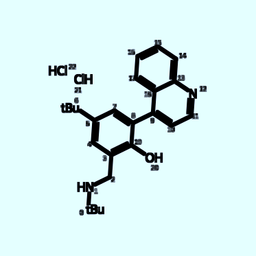 CC(C)(C)NCc1cc(C(C)(C)C)cc(-c2ccnc3ccccc23)c1O.Cl.Cl